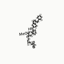 COC1=Cc2c(ncnc2Nc2ccc3c(cnn3Cc3ccccc3)c2)CN1OCCN(C)CCS(C)(=O)=O